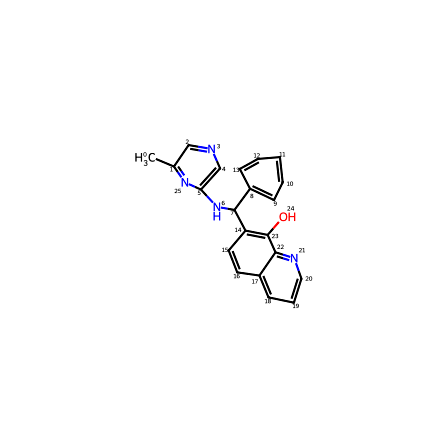 Cc1cncc(NC(c2ccccc2)c2ccc3cccnc3c2O)n1